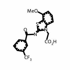 COc1cccc2c1sc(=NC(=O)c1cccc(C(F)(F)F)c1)n2CC(=O)O